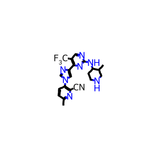 Cc1ccc(-n2cnc(-c3nc(NC4CCNCC4C)ncc3C(F)(F)F)c2)c(C#N)n1